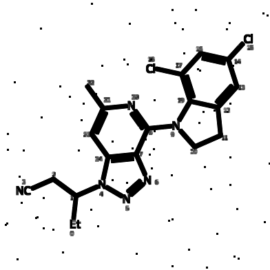 CCC(CC#N)n1nnc2c(N3CCc4cc(Cl)cc(Cl)c43)nc(C)cc21